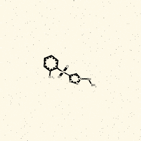 BBn1cc(S(=O)(=O)c2ccccc2C)nn1